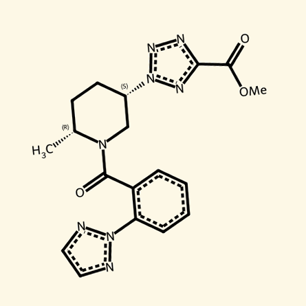 COC(=O)c1nnn([C@H]2CC[C@@H](C)N(C(=O)c3ccccc3-n3nccn3)C2)n1